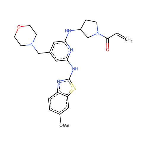 C=CC(=O)N1CCC(Nc2cc(CN3CCOCC3)cc(Nc3nc4ccc(OC)cc4s3)n2)C1